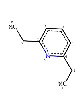 N#CCc1cccc(CC#N)n1